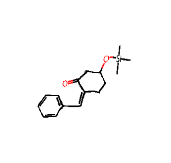 C[Si](C)(C)OC1CC/C(=C/c2ccccc2)C(=O)C1